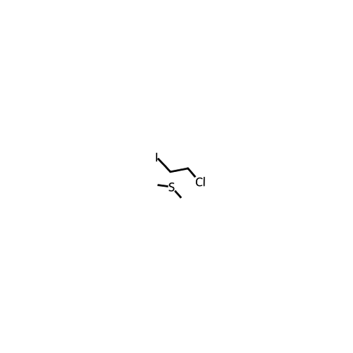 CSC.ClCCI